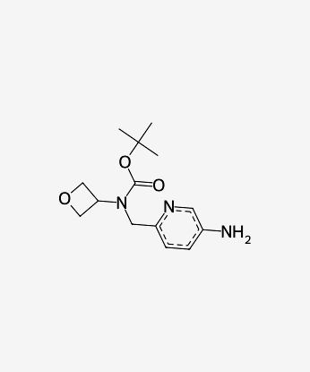 CC(C)(C)OC(=O)N(Cc1ccc(N)cn1)C1COC1